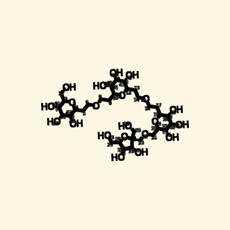 OCC1OC(CCOCCC2OC(CCOCCC3OC(COC[C@]4(CO)OC(CO)[C@H](O)[C@H]4O)[C@@H](O)[C@H](O)[C@@H]3O)[C@@H](O)[C@H](O)[C@H]2O)[C@@H](O)[C@H](O)[C@H]1O